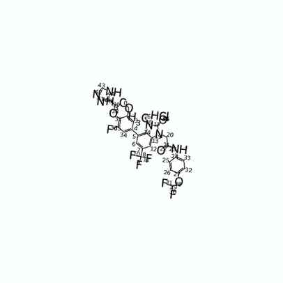 COc1cc(-c2cc(C(F)(F)F)cc3c2n(C)c(=O)n3CC(=O)Nc2ccc(OC(F)F)cc2)cc(F)c1OCc1nnc[nH]1.Cl